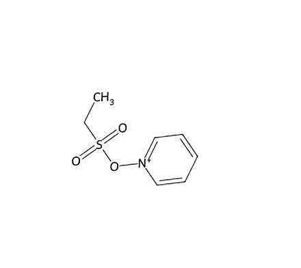 CCS(=O)(=O)O[n+]1ccccc1